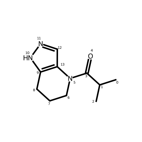 CC(C)C(=O)N1CCCc2[nH]ncc21